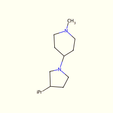 CC(C)C1CCN(C2CCN(C)CC2)C1